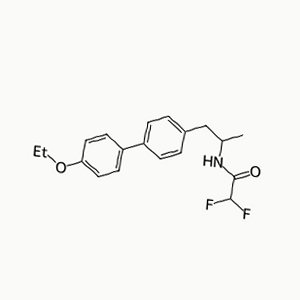 CCOc1ccc(-c2ccc(CC(C)NC(=O)C(F)F)cc2)cc1